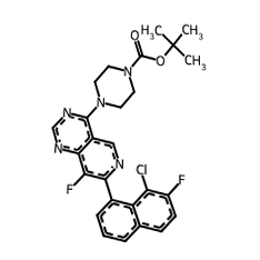 CC(C)(C)OC(=O)N1CCN(c2ncnc3c(F)c(-c4cccc5ccc(F)c(Cl)c45)ncc23)CC1